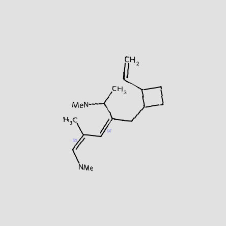 C=CC1CCC1C/C(=C/C(C)=C\NC)C(C)NC